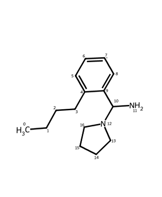 CCCCc1cc[c]cc1C(N)N1CCCC1